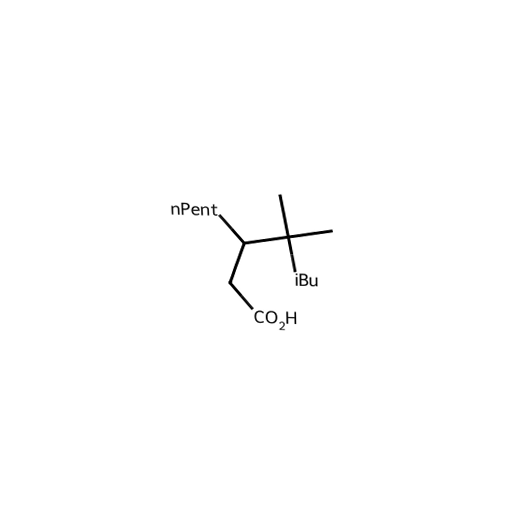 CCCCCC(CC(=O)O)C(C)(C)C(C)CC